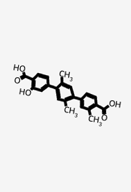 Cc1cc(-c2cc(C)c(-c3ccc(C(=O)O)c(O)c3)cc2C)ccc1C(=O)O